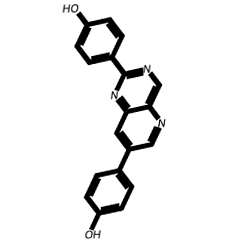 Oc1ccc(-c2cnc3cnc(-c4ccc(O)cc4)nc3c2)cc1